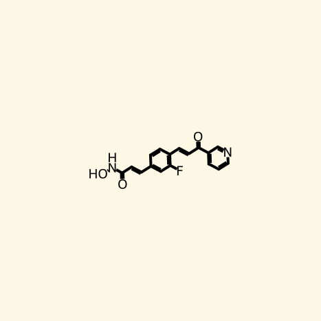 O=C(C=Cc1ccc(C=CC(=O)c2cccnc2)c(F)c1)NO